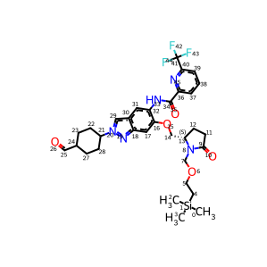 C[Si](C)(C)CCOCN1C(=O)CC[C@H]1COc1cc2nn(C3CCC(C=O)CC3)cc2cc1NC(=O)c1cccc(C(F)(F)F)n1